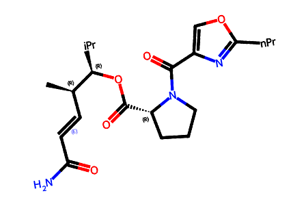 CCCc1nc(C(=O)N2CCC[C@@H]2C(=O)O[C@H](C(C)C)[C@H](C)/C=C/C(N)=O)co1